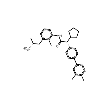 Cc1cc(-c2ccc([C@H](C(=O)Nc3cccc(C[C@@H](C)C(=O)O)c3C)C3CCCC3)cc2)cnc1C